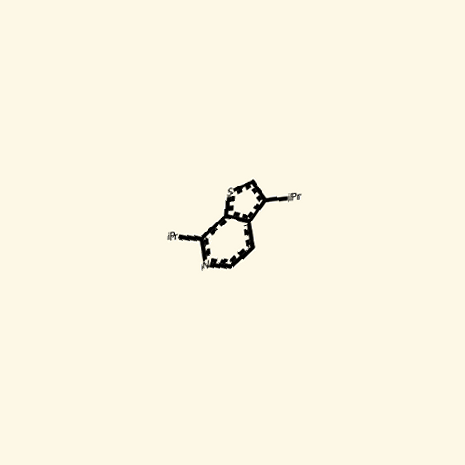 CC(C)c1csc2c(C(C)C)nccc12